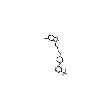 Fc1ccc2nnn(CCCCN3CCN(c4cccc(C(F)(F)F)c4)CC3)c2c1